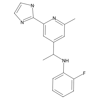 Cc1cc(C(C)Nc2ccccc2F)cc(C2=NC=C[N]2)n1